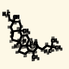 CC[C@]1(O)CC[C@@]2(C)C(=CC[C@@H]3C2CC[C@]2(C)[C@@H]([C@H](C)C(=O)CCC(C)(C)C)CC[C@@H]32)C1